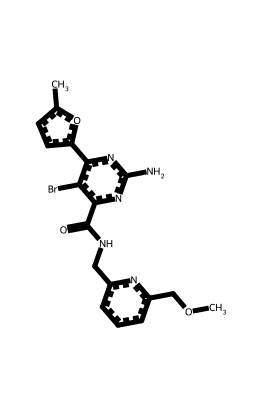 COCc1cccc(CNC(=O)c2nc(N)nc(-c3ccc(C)o3)c2Br)n1